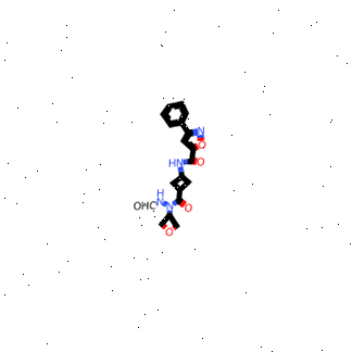 O=CNN(C(=O)C1CC(NC(=O)c2cc(-c3ccccc3)no2)C1)C1COC1